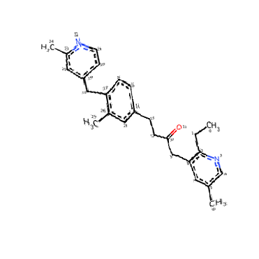 CCc1ncc(C)cc1CC(=O)CCc1ccc(Cc2ccnc(C)c2)c(C)c1